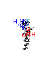 C#C[C@]1(CO)O[C@@H](n2cnc3c(N)nc(F)nc32)C[C@@H]1OC(=O)C1CCC(CCCC)CC1